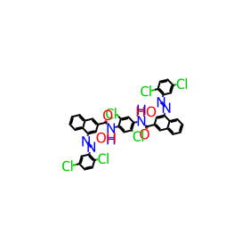 O=C(Nc1cc(Cl)c(NC(=O)c2cc3ccccc3c(N=Nc3cc(Cl)ccc3Cl)c2O)cc1Cl)c1cc2ccccc2c(N=Nc2cc(Cl)ccc2Cl)c1O